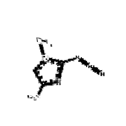 Cn1cc([N+](=O)[O-])nc1N=[N+]=[N-]